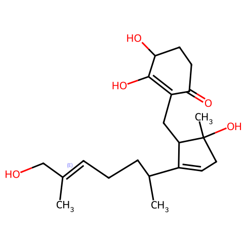 C/C(=C\CCC(C)C1=CCC(C)(O)C1CC1=C(O)C(O)CCC1=O)CO